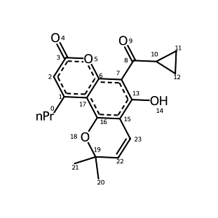 CCCc1cc(=O)oc2c(C(=O)C3CC3)c(O)c3c(c12)OC(C)(C)C=C3